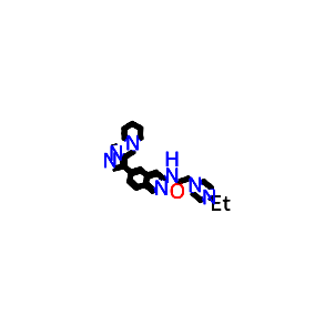 CCN1CCN(CC(=O)Nc2cc3cc(-c4cnn(C)c4CN4CCCCC4)ccc3cn2)CC1